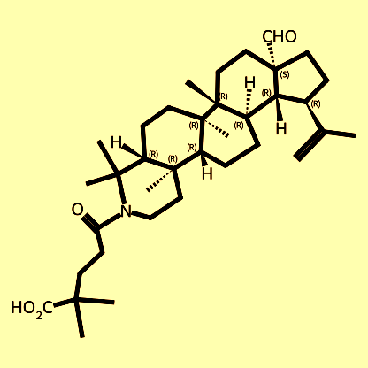 C=C(C)[C@@H]1CC[C@]2(C=O)CC[C@]3(C)[C@H](CC[C@@H]4[C@@]5(C)CCN(C(=O)CCC(C)(C)C(=O)O)C(C)(C)[C@@H]5CC[C@]43C)[C@@H]12